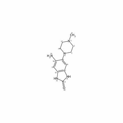 CN1CCN(c2cc3[nH]c(=O)[nH]c3cc2N)CC1